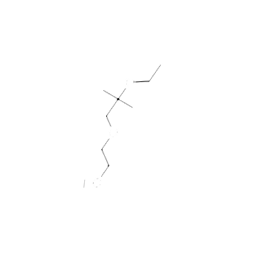 CCOC(C)(C)COCCO